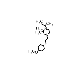 CCC(C)N1CCN(CCC[C@H]2CC[C@H](OC)CC2)CC1(C)C